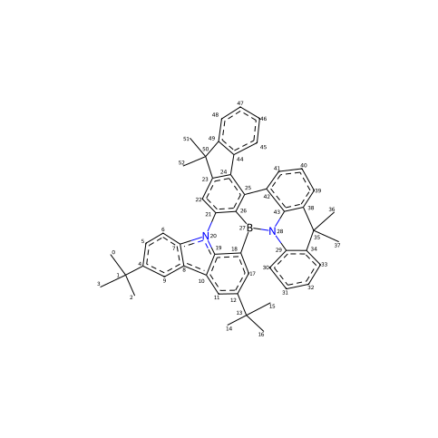 CC(C)(C)c1ccc2c(c1)c1cc(C(C)(C)C)cc3c1n2-c1cc2c(c4c1B3N1c3ccccc3C(C)(C)c3cccc-4c31)-c1ccccc1C2(C)C